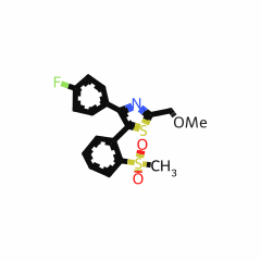 COCc1nc(-c2ccc(F)cc2)c(-c2ccccc2S(C)(=O)=O)s1